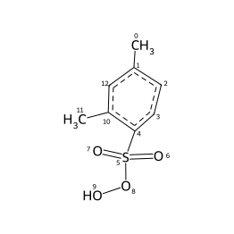 Cc1ccc(S(=O)(=O)OO)c(C)c1